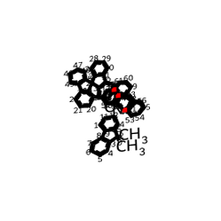 CC1(C)c2ccccc2-c2ccc(N(c3cccc(-c4cccc5c4C4(c6ccccc6-c6cc7c(cc64)oc4ccccc47)c4ccccc4-5)c3)c3ccccc3-c3ccccc3)cc21